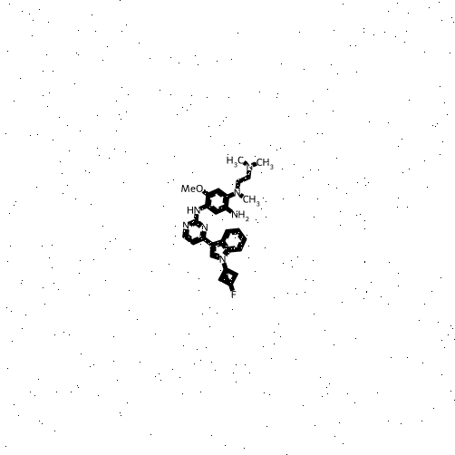 COc1cc(N(C)CCN(C)C)c(N)cc1Nc1nccc(-c2cn(C34CC(F)(C3)C4)c3ccccc23)n1